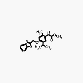 COC(=O)Nc1cc(C(C)C)c(OCc2nc3ccccc3s2)cc1C